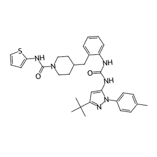 Cc1ccc(-n2nc(C(C)(C)C)cc2NC(=O)Nc2ccccc2CC2CCN(C(=O)Nc3cccs3)CC2)cc1